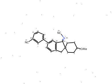 COC1CCC2(CC1)Cc1ccc(-c3cccc(C#N)c3)cc1/C2=N\C#N